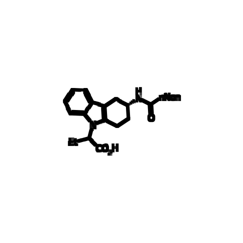 CCCCCCCCCC(=O)N[C@@H]1CCc2c(c3ccccc3n2C(CC)C(=O)O)C1